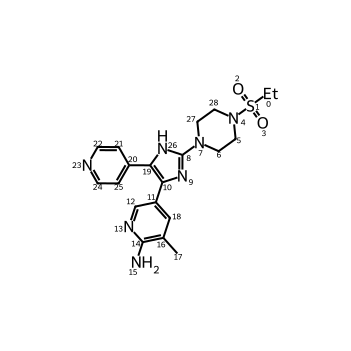 CCS(=O)(=O)N1CCN(c2nc(-c3cnc(N)c(C)c3)c(-c3ccncc3)[nH]2)CC1